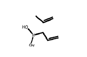 C=CC.C=CCN(O)O